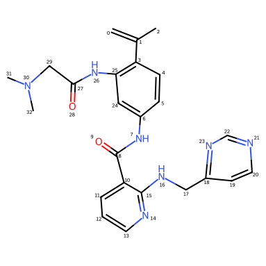 C=C(C)c1ccc(NC(=O)c2cccnc2NCc2ccncn2)cc1NC(=O)CN(C)C